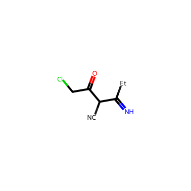 CCC(=N)C(C#N)C(=O)CCl